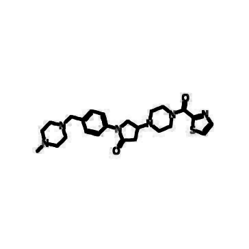 CN1CCN(Cc2ccc(N3CC(N4CCN(C(=O)c5nccs5)CC4)CC3=O)cc2)CC1